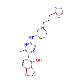 Cc1nc(N[C@@H]2CCCN(CCCc3ncco3)C2)nnc1-c1ccc2c(c1O)CCO2